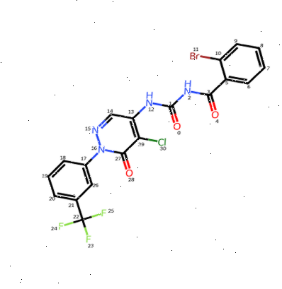 O=C(NC(=O)c1ccccc1Br)Nc1cnn(-c2cccc(C(F)(F)F)c2)c(=O)c1Cl